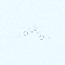 C[C@H]1Cn2ncc(C(=O)Nc3cccc(C#N)c3)c2C(=O)N1c1ccc(CNC2CCC2)cc1